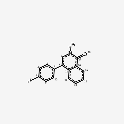 CC(C)n1[c]c(-c2ccc(F)cc2)c2ccccc2c1=O